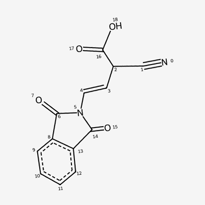 N#CC(C=CN1C(=O)c2ccccc2C1=O)C(=O)O